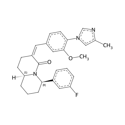 COc1cc(C=C2CC[C@@H]3CCC[C@H](c4cccc(F)c4)N3C2=O)ccc1-n1cnc(C)c1